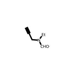 C#CCN([C]=O)CC